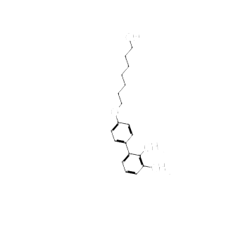 CCCCCCCCOc1ccc(-c2cccc(C)c2C)cc1